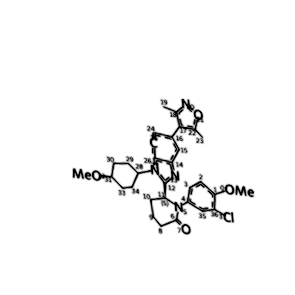 COc1ccc(N2C(=O)CCC[C@H]2c2nc3cc(-c4c(C)noc4C)ccc3n2C2CCC(OC)CC2)cc1Cl